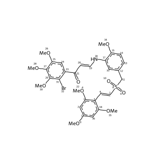 COc1cc(OC)c(C=CS(=O)(=O)Cc2ccc(OC)c(NC=CC(=O)c3cc(OC)c(OC)c(OC)c3Br)c2)c(OC)c1